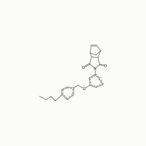 CCCCc1ccc(COc2cccc(N3C(=O)C4C5C=CC(C5)C4C3=O)c2)cc1